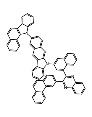 c1ccc2c(-c3nc4ccccc4nc3-c3ccc4ccc5ccccc5c4c3)cc(-n3c4ccccc4c4cc5cc(-n6c7ccccc7c7ccc8ccccc8c76)ccc5cc43)cc2c1